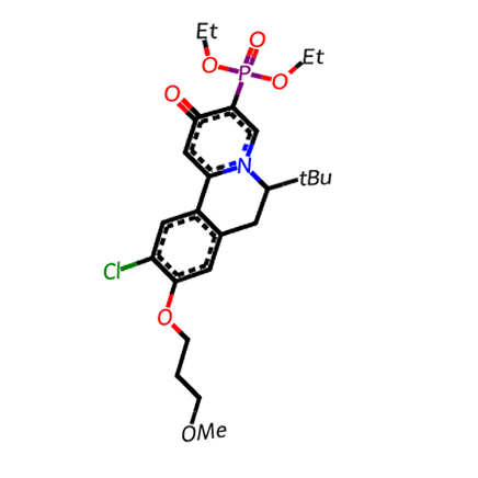 CCOP(=O)(OCC)c1cn2c(cc1=O)-c1cc(Cl)c(OCCCOC)cc1CC2C(C)(C)C